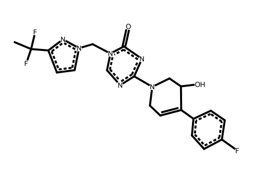 CC(F)(F)c1ccn(Cn2cnc(N3CC=C(c4ccc(F)cc4)C(O)C3)nc2=O)n1